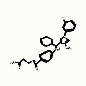 Cc1cn(-c2cccc(F)c2)cc1C(Nc1ccc(C(=O)NCCC(=O)O)cc1)C1CCCCC1